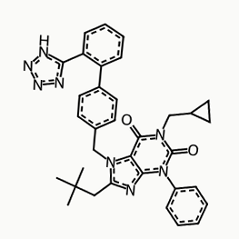 CC(C)(C)Cc1nc2c(c(=O)n(CC3CC3)c(=O)n2-c2ccccc2)n1Cc1ccc(-c2ccccc2-c2nnn[nH]2)cc1